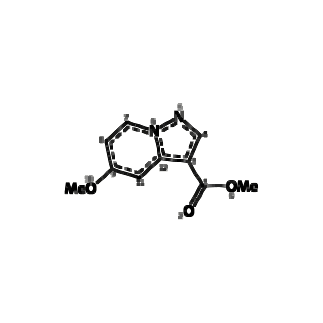 COC(=O)c1cnn2ccc(OC)cc12